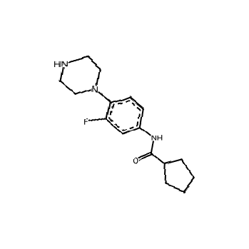 O=C(Nc1ccc(N2CCNCC2)c(F)c1)C1CCCC1